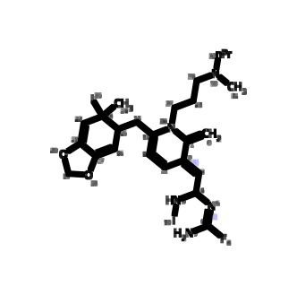 C=C1/C(=C/C(/N=C(\N)F)NI)C=C=C(CC2C=C3OCOC3=CC2(C)I)N1CCCN(C)CCC